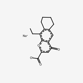 CCc1c2c(cc3c(=O)cc(C(=O)[O-])oc13)CCCC2.[Na+]